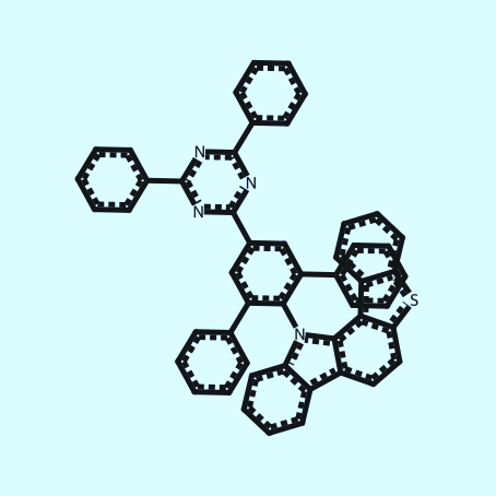 c1ccc(-c2nc(-c3ccccc3)nc(-c3cc(-c4ccccc4)c(-n4c5ccccc5c5ccc6sc7ccccc7c6c54)c(-c4ccccc4)c3)n2)cc1